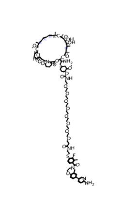 CO[C@H]1C[C@@H]2CC[C@@H](C)[C@@](O)(O2)C(=O)C(=O)N2CCCC[C@H]2C(=O)O[C@H]([C@H](N)C[C@@H]2CC[C@@H](OC(=O)NCCOCCOCCOCCOCCOCCOCCOCCOCCC(=O)NCCSc3ccc(C(=O)N4CCOc5ccc(-c6ccc(N)nc6)cc5C4)c(C)c3F)[C@H](OC)C2)CC(=O)[C@H](C)/C=C(\C)[C@@H](O)[C@@H](O)C(=O)[C@H](C)C[C@H](C)/C=C/C=C/C=C/1C